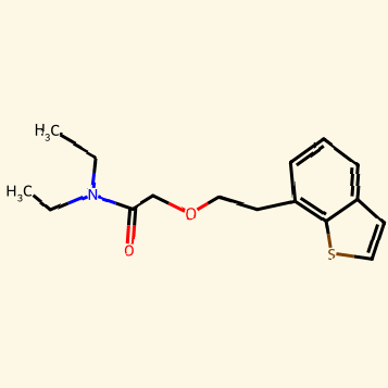 CCN(CC)C(=O)COCCc1cccc2ccsc12